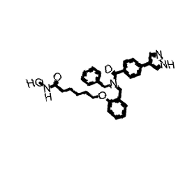 O=C(CCCCCOc1ccccc1CN(Cc1ccccc1)C(=O)c1ccc(-c2cn[nH]c2)cc1)NO